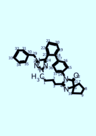 CCCCC1=NC2(CCCC2)C(=O)N1c1ccc(-c2ccccc2-c2nnnn2Cc2ccccc2)cc1